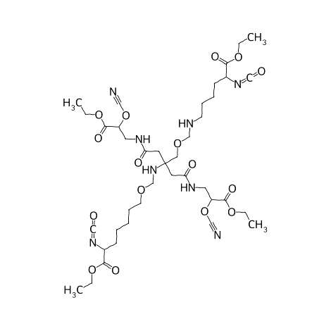 CCOC(=O)C(CCCCCOCNC(COCNCCCCC(N=C=O)C(=O)OCC)(CC(=O)NCC(OC#N)C(=O)OCC)CC(=O)NCC(OC#N)C(=O)OCC)N=C=O